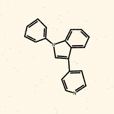 c1ccc(-n2cc(-c3ccncc3)c3ccccc32)cc1